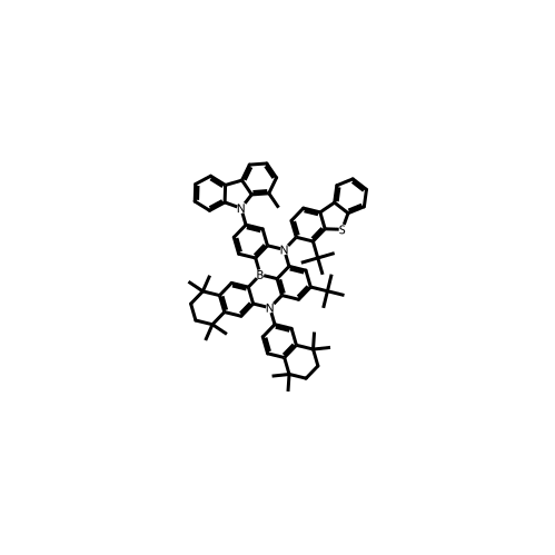 Cc1cccc2c3ccccc3n(-c3ccc4c(c3)N(c3ccc5c(sc6ccccc65)c3C(C)(C)C)c3cc(C(C)(C)C)cc5c3B4c3cc4c(cc3N5c3ccc5c(c3)C(C)(C)CCC5(C)C)C(C)(C)CCC4(C)C)c12